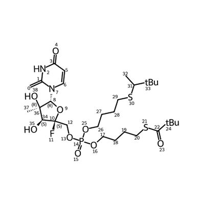 C=C1NC(=O)C=CN1[C@@H]1O[C@](F)(COP(=O)(OCCCCSC(=O)C(C)(C)C)OCCCCSC(C)C(C)(C)C)[C@@H](O)[C@@]1(C)O